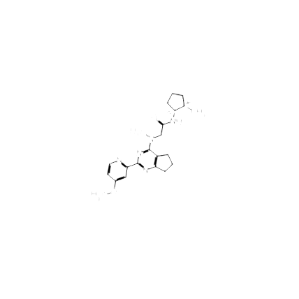 COc1ccnc(-c2nc3c(c(N(C)CC(=O)N[C@H]4CCC[C@H]4C)n2)CCC3)c1